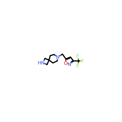 FC(F)(F)c1cc(CN2CCC3(CC2)CNC3)on1